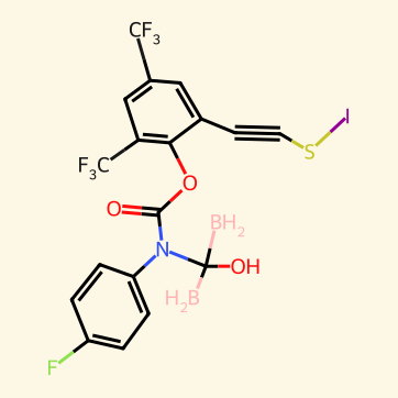 BC(B)(O)N(C(=O)Oc1c(C#CSI)cc(C(F)(F)F)cc1C(F)(F)F)c1ccc(F)cc1